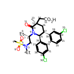 CC[C@@H](CN(CC)S(C)(=O)=O)N1C(=O)[C@@](C)(CC(=O)O)C[C@H](c2cccc(Cl)c2)[C@H]1c1ccc(Cl)cc1